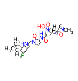 CN(C)C(=O)/C=C/CC[C@@H](CN(C)C(=O)O)C(=O)Nc1cccn(Cc2cc3cc(F)cc(CC(C)(C)C)c3[nH]2)c1=O